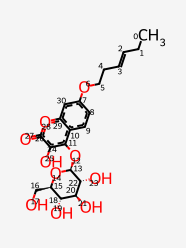 CCC=CCCOc1ccc2c(O[C@@H]3O[C@H](CO)[C@@H](O)[C@H](O)[C@H]3O)c(O)c(=O)oc2c1